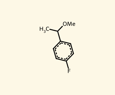 COC(C)c1ccc(F)cc1